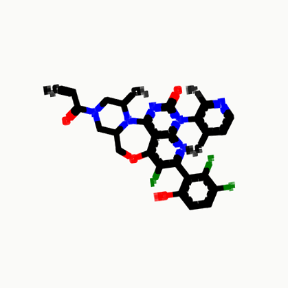 C=CC(=O)N1CC(C)N2c3nc(=O)n(-c4c(C)ccnc4C(C)C)c4nc(-c5c(O)ccc(F)c5F)c(F)c(c34)OCC2C1